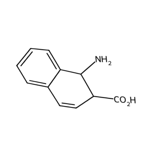 NC1c2ccccc2C=CC1C(=O)O